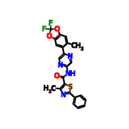 Cc1cc2c(cc1-c1cnc(NC(=O)c3sc(-c4ccccc4)nc3C)cn1)OC(F)(F)O2